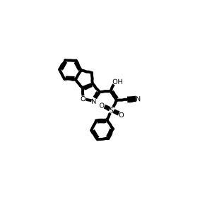 N#CC(=C(O)c1noc2c1Cc1ccccc1-2)S(=O)(=O)c1ccccc1